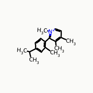 Cc1cc(C(C)C)ccc1-c1c(C)c(C)cc[n+]1C